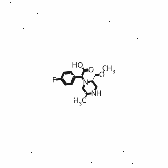 COC[C@@H]1CN[C@@H](C)CN1C(C(=O)O)c1ccc(F)cc1